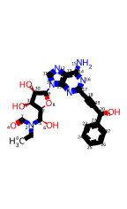 CCN(C=O)[C@@H](O)[C@H]1O[C@@H](n2cnc3c(N)nc(C#CC(O)c4ccccc4)nc32)[C@H](O)[C@@H]1O